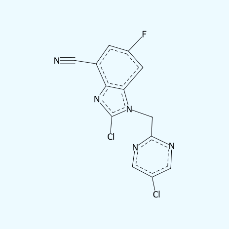 N#Cc1cc(F)cc2c1nc(Cl)n2Cc1ncc(Cl)cn1